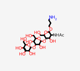 CC(=O)NC1C(O)[C@H](O[C@@H]2OC(CO)[C@H](O)C(O[C@H]3OC(CO)C(O)=C(O)C3O)C2O)C(CO)O[C@H]1OCCCN